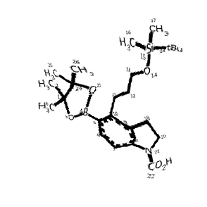 CC1(C)OB(c2ccc3c(c2CCCO[Si](C)(C)C(C)(C)C)CCN3C(=O)O)OC1(C)C